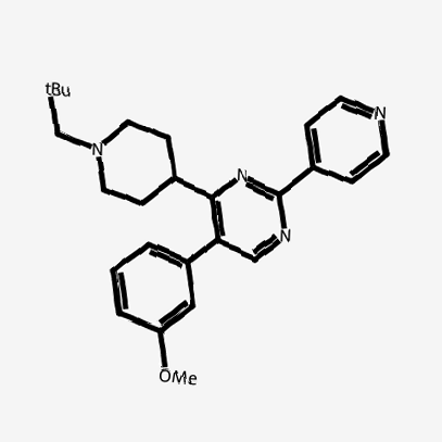 COc1cccc(-c2cnc(-c3ccncc3)nc2C2CCN(CC(C)(C)C)CC2)c1